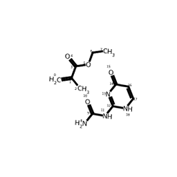 C=C(C)C(=O)OCC.NC(=O)Nc1nc(=O)cc[nH]1